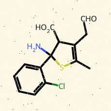 CC1=C(CC=O)C(C(=O)O)C(N)(c2ccccc2Cl)S1